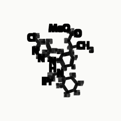 COC(=O)CC(C)c1ccc(N(CC(C)C)C2CCCCC2)c(Nc2ccc(Cl)nn2)c1